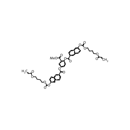 C=CC(=O)OCCCCOC(=O)Oc1ccc2cc(C(=O)Oc3ccc(OC(=O)c4ccc5cc(OC(=O)OCCCCOC(=O)C=C)ccc5c4)c(C(=O)OC)c3)ccc2c1